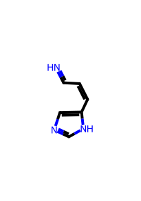 N=C/C=C\c1cnc[nH]1